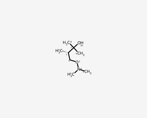 C[C@@H](CON(C)C)C(C)(C)O